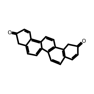 O=C1C=Cc2c(ccc3c2ccc2c4c(ccc23)C=CC(=O)C4)C1